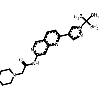 BC(B)(B)n1cc(-c2ccc3cnc(NC(=O)CN4CCCCC4)cc3n2)cn1